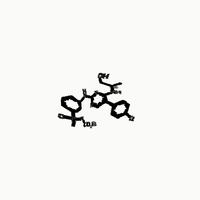 CCOC(=O)N=S(C)(=O)c1cccc(Nc2ncc(-c3ccc(CC)cc3)c(N[C@H](C)CO)n2)c1